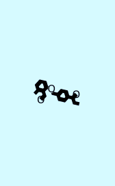 CCC(=O)c1ccc(COc2cccc(C)c2C=O)cc1